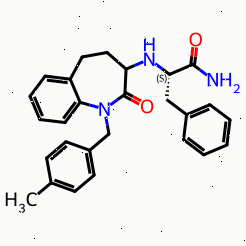 Cc1ccc(CN2C(=O)C(N[C@@H](Cc3ccccc3)C(N)=O)CCc3ccccc32)cc1